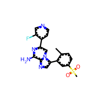 Cc1ccc(S(C)(=O)=O)cc1-c1cnc2c(N)nc(-c3ccncc3F)cn12